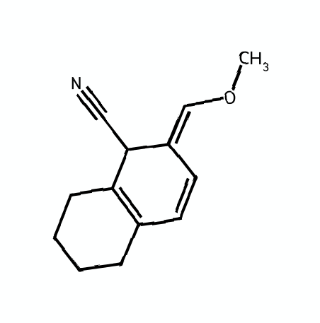 COC=C1C=CC2=C(CCCC2)C1C#N